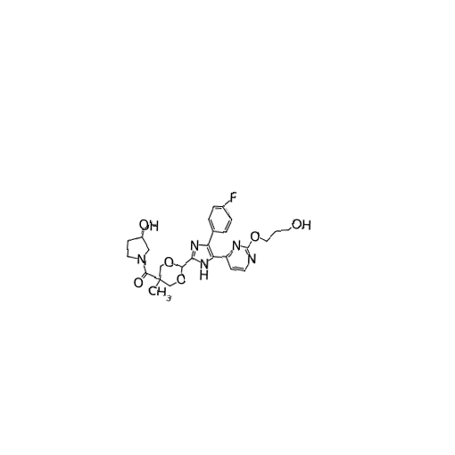 CC1(C(=O)N2CCC(O)C2)COC(c2nc(-c3ccc(F)cc3)c(-c3ccnc(OCCCO)n3)[nH]2)OC1